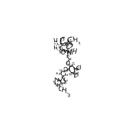 Cc1ncnc2c1ccn2[C@H]1C=C[C@@H](Oc2cc(Cl)c(Cl)cc2OCCNC(=O)OC(C)(C)C)C1